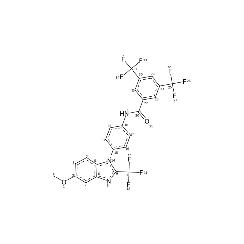 COc1ccc2c(c1)nc(C(F)(F)F)n2-c1ccc(NC(=O)c2cc(C(F)(F)F)cc(C(F)(F)F)c2)cc1